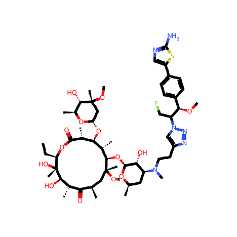 CC[C@H]1OC(=O)[C@H](C)[C@@H](O[C@H]2C[C@@](C)(OC)[C@@H](O)[C@H](C)O2)[C@H](C)[C@@H](O[C@@H]2O[C@H](C)C[C@H](N(C)CCc3cn(C(CF)[C@H](OC)c4ccc(-c5cnc(N)s5)cc4)nn3)[C@H]2O)[C@](C)(OC)C[C@@H](C)C(=O)[C@H](C)[C@@H](O)[C@]1(C)O